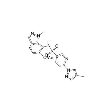 COc1ccc2cnn(C)c2c1NS(=O)(=O)c1ccc(-n2cc(C)cn2)nc1